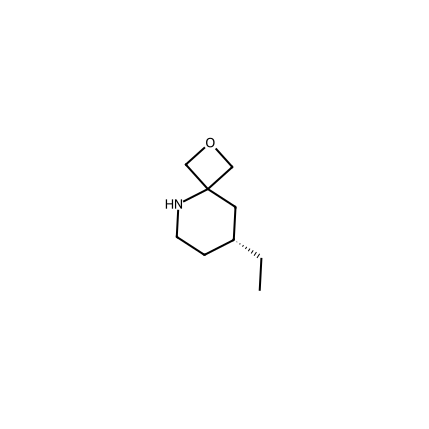 CC[C@@H]1CCNC2(COC2)C1